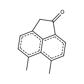 Cc1ccc2c3c(ccc(C)c13)C(=O)C2